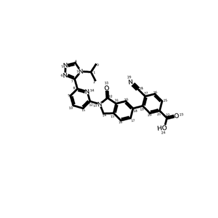 CC(C)n1cnnc1-c1cccc(N2Cc3ccc(-c4cc(C(=O)O)ccc4C#N)cc3C2=O)n1